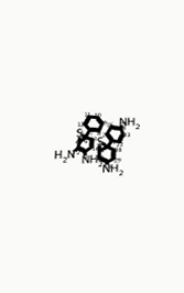 NC1=C(N)C2SC2(c2ccccc2)C=C1.NC1=CC2SC2(c2ccc(N)cc2)C=C1